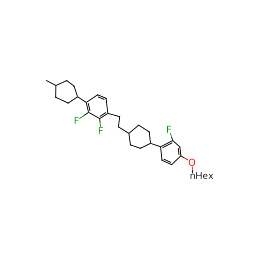 CCCCCCOc1ccc(C2CCC(CCc3ccc(C4CCC(C)CC4)c(F)c3F)CC2)c(F)c1